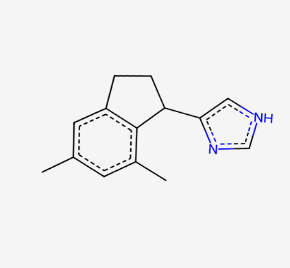 Cc1cc(C)c2c(c1)CCC2c1c[nH]cn1